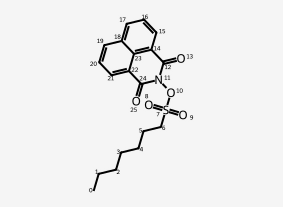 CCCCCCCS(=O)(=O)ON1C(=O)c2cccc3cccc(c23)C1=O